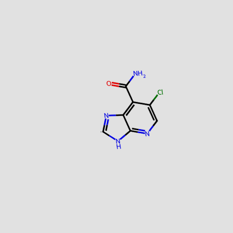 NC(=O)c1c(Cl)cnc2[nH][c]nc12